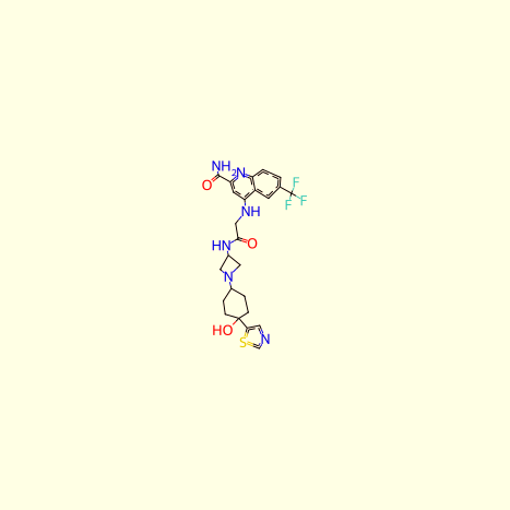 NC(=O)c1cc(NCC(=O)NC2CN(C3CCC(O)(c4cncs4)CC3)C2)c2cc(C(F)(F)F)ccc2n1